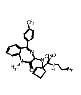 CC(C)CCNC(=O)C1(N(C=O)C2N=C(c3ccc(C(F)(F)F)cc3)c3ccccc3N(C)C2=O)CCCC1